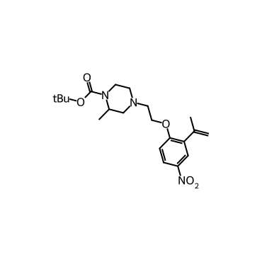 C=C(C)c1cc([N+](=O)[O-])ccc1OCCN1CCN(C(=O)OC(C)(C)C)C(C)C1